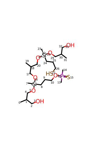 CC(CO)CO[Si](C)(CCCOP(C)(C)=S)OCC(C)CO[Si@@](C)(CCCS)OCC(C)CO